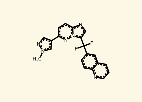 Cn1cc(-c2ccc3ncc(C(F)(F)c4ccc5ncccc5c4)n3n2)cn1